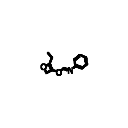 CCC1=C(OC=Nc2ccccc2)CO1